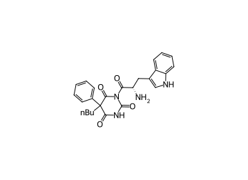 CCCCC1(c2ccccc2)C(=O)NC(=O)N(C(=O)[C@@H](N)Cc2c[nH]c3ccccc23)C1=O